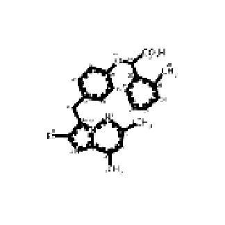 CCc1nc2c(C)cc(C)nn2c1Cc1ccc(OC(C(=O)O)c2ccccc2C)cc1